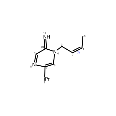 C/C=C\Cn1cc(C(C)C)ncc1=N